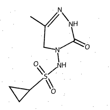 CC1=NNC(=O)N(NS(=O)(=O)C2CC2)C1